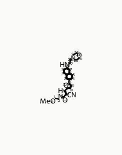 COCCNC(=O)/C(C#N)=C/c1ccc(-c2ccc3cc(NCCN4CCOCC4)ccc3c2)o1